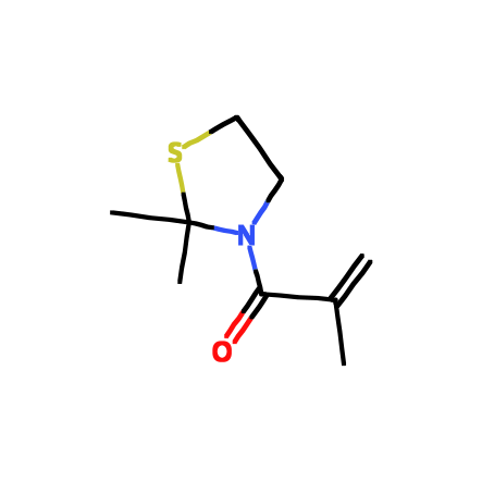 C=C(C)C(=O)N1CCSC1(C)C